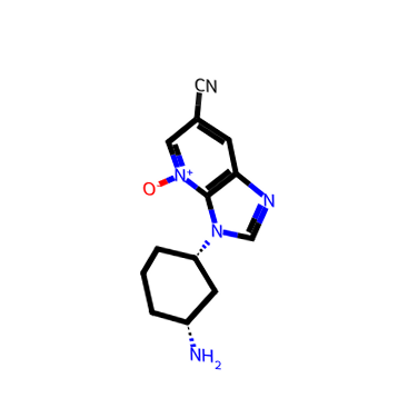 N#Cc1cc2ncn([C@H]3CCC[C@@H](N)C3)c2[n+]([O-])c1